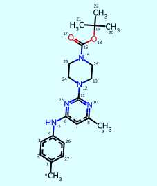 Cc1ccc(Nc2cc(C)nc(N3CCN(C(=O)OC(C)(C)C)CC3)n2)cc1